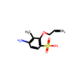 C=CCOc1c(S(=O)(=O)O)ccc(N)c1C